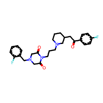 O=C(CC1CCCN(CCCN2C(=O)CN(Cc3ccccc3F)CC2=O)C1)c1ccc(F)cc1